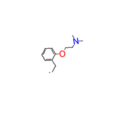 [CH2]Cc1ccccc1OCCN(C)C